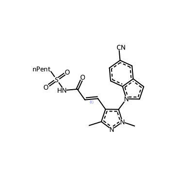 CCCCCS(=O)(=O)NC(=O)/C=C/c1c(C)nn(C)c1-n1ccc2cc(C#N)ccc21